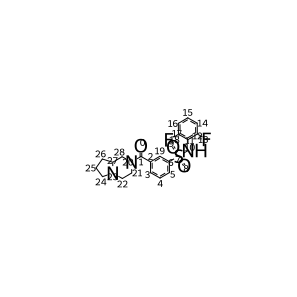 O=C(c1cccc(S(=O)(=O)Nc2c(F)cccc2F)c1)N1CCN2CCCC2C1